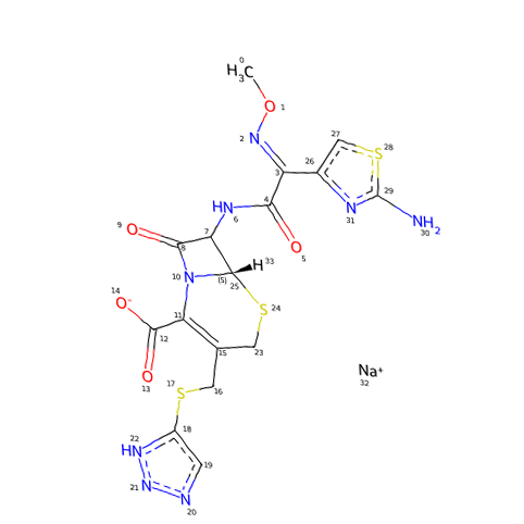 CON=C(C(=O)NC1C(=O)N2C(C(=O)[O-])=C(CSc3cnn[nH]3)CS[C@@H]12)c1csc(N)n1.[Na+]